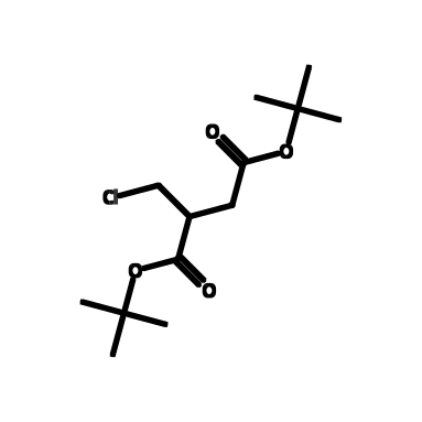 CC(C)(C)OC(=O)CC(CCl)C(=O)OC(C)(C)C